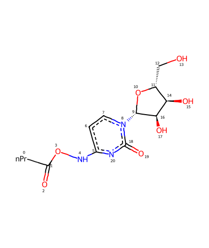 CCCC(=O)ONc1ccn([C@@H]2O[C@H](CO)[C@@H](O)[C@H]2O)c(=O)n1